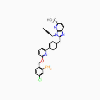 CC#CCn1c(CC2CC=C(c3cccc(OCc4ccc(Cl)cc4P)n3)CC2)nc2ccc(C(=O)O)nc21